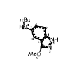 COc1n[nH]c2ccc(NC(C)(C)C)cc12